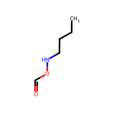 CCCCNO[C]=O